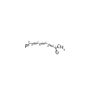 CC(=O)C#CC#CC#CCF